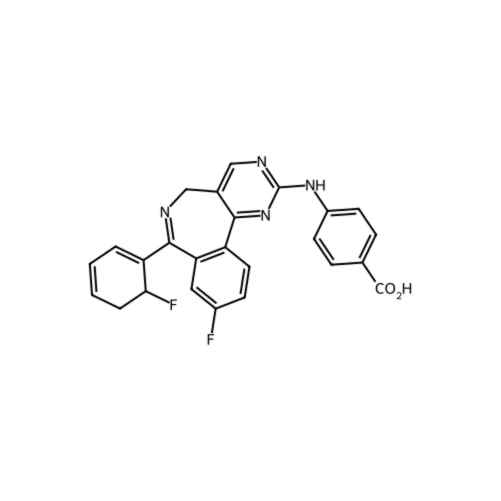 O=C(O)c1ccc(Nc2ncc3c(n2)-c2ccc(F)cc2C(C2=CC=CCC2F)=NC3)cc1